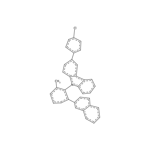 Cc1cccc(-c2ccc3ccccc3c2)c1-n1c2ccccc2c2cc(-c3ccc(Cl)cc3)ccc21